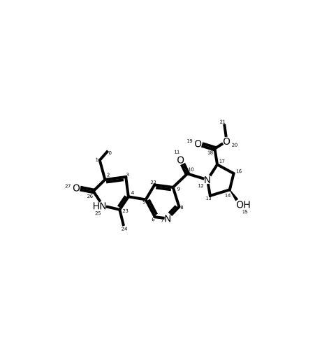 CCc1cc(-c2cncc(C(=O)N3C[C@H](O)CC3C(=O)OC)c2)c(C)[nH]c1=O